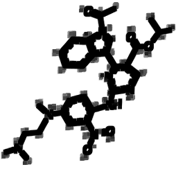 CC(=O)n1cc(-c2nc(Nc3ccc(N(C)CCN(C)C)cc3[N+](=O)[O-])ncc2C(=O)OC(C)C)c2ccccc21